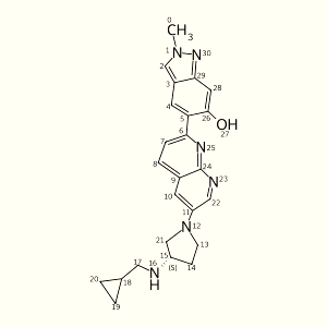 Cn1cc2cc(-c3ccc4cc(N5CC[C@H](NCC6CC6)C5)cnc4n3)c(O)cc2n1